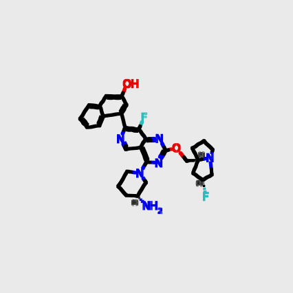 N[C@@H]1CCCN(c2nc(OC[C@@]34CCCN3C[C@H](F)C4)nc3c(F)c(-c4cc(O)cc5ccccc45)ncc23)C1